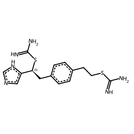 N=C(N)SCCc1ccc(C[C@H](SC(=N)N)c2cnc[nH]2)cc1